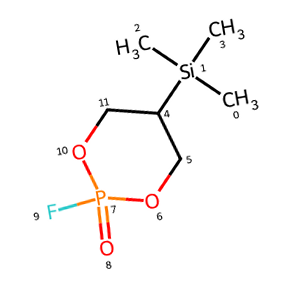 C[Si](C)(C)C1COP(=O)(F)OC1